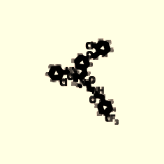 CN(C(=O)CNC(=O)Cc1ccc(C(F)(F)F)cc1)C1=Cc2cc(OCc3ccccc3Cl)ccc2NC1(C)OCc1ccccc1Cl